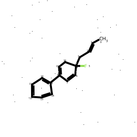 CC=CCC1(F)C=CC(c2ccccc2)=CC1